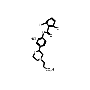 Cl.O=C(O)CCN1CCOC(c2ccc(OC(=O)c3c(Cl)cccc3Cl)cc2)C1